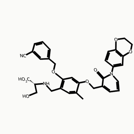 Cc1cc(CN[C@H](CO)C(=O)O)c(OCc2cccc(C#N)c2)cc1OCc1cccn(-c2ccc3c(c2)OCCO3)c1=O